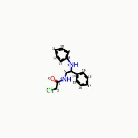 O=C(CCl)NCC(Nc1ccccc1)c1ccccc1